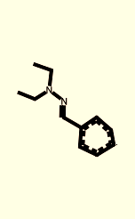 CCN(CC)/N=C/c1cc[c]cc1